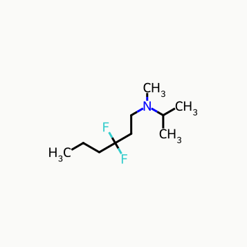 CCCC(F)(F)CCN(C)C(C)C